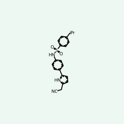 CC(C)c1ccc(S(=O)(=O)Nc2ccc(-c3ccc(CC#N)[nH]3)cc2)cc1